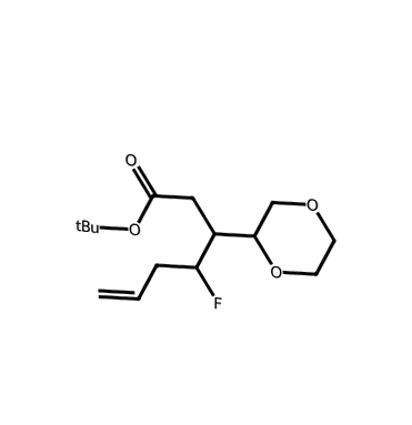 C=CCC(F)C(CC(=O)OC(C)(C)C)C1COCCO1